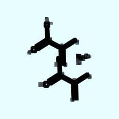 C=C(C)C(=O)[O-].C=C(C)C(=O)[O-].[Be+2]